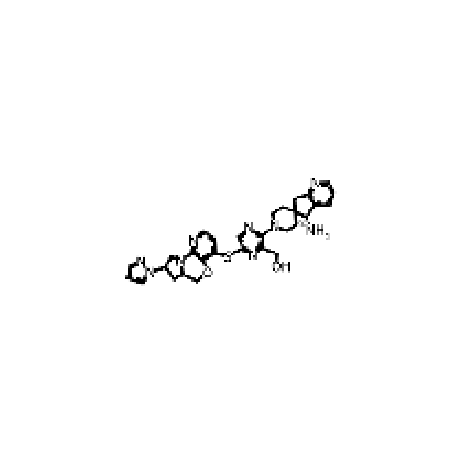 N[C@@H]1c2cccnc2CC12CCN(c1ncc(Sc3ccnc4c3OCC3CC(n5cccn5)CN43)nc1CO)CC2